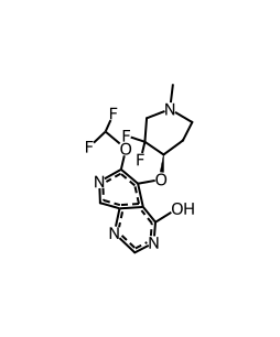 CN1CC[C@@H](Oc2c(OC(F)F)ncc3ncnc(O)c23)C(F)(F)C1